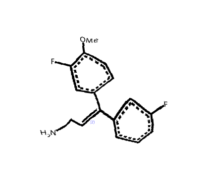 COc1ccc(/C(=C\CN)c2cccc(F)c2)cc1F